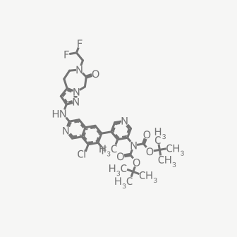 Cc1c(-c2cc3cc(Nc4cc5n(n4)CC(=O)N(CC(F)F)CC5)ncc3c(Cl)c2F)cncc1N(C(=O)OC(C)(C)C)C(=O)OC(C)(C)C